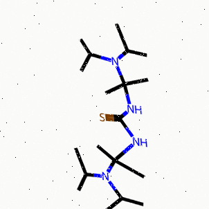 CC(C)N(C(C)C)C(C)(C)NC(=S)NC(C)(C)N(C(C)C)C(C)C